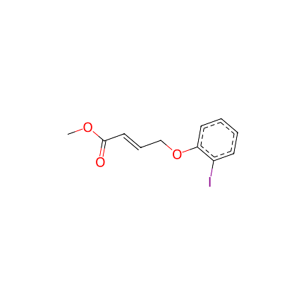 COC(=O)/C=C/COc1ccccc1I